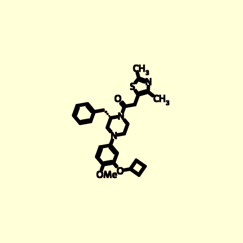 COc1ccc(N2CCN(C(=O)Cc3sc(C)nc3C)[C@@H](Cc3ccccc3)C2)cc1OC1CCC1